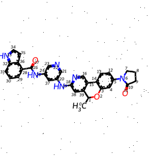 CC1Oc2cc(N3CCCC3=O)ccc2-c2cnc(Nc3cncc(NC(=O)c4cccc5[nH]ccc45)c3)cc21